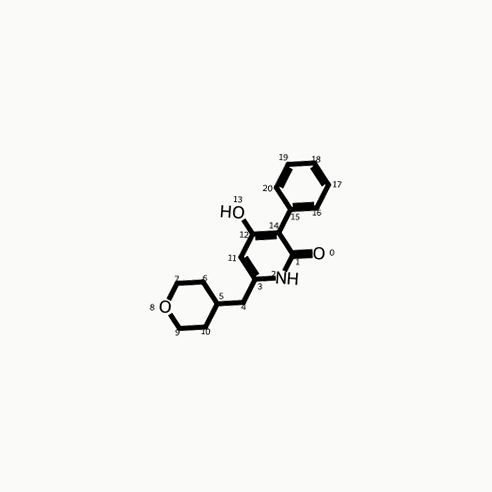 O=c1[nH]c(CC2CCOCC2)cc(O)c1-c1ccccc1